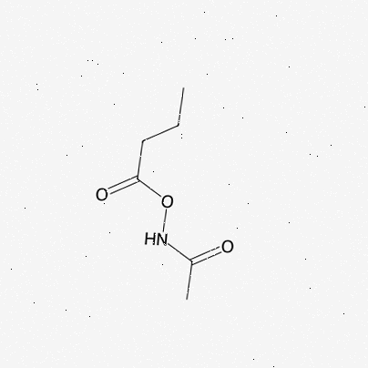 CCCC(=O)ONC(C)=O